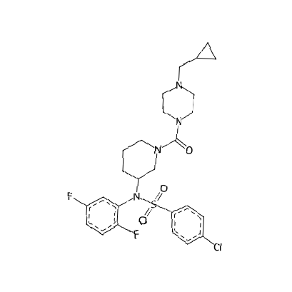 O=C(N1CCN(CC2CC2)CC1)N1CCCC(N(c2cc(F)ccc2F)S(=O)(=O)c2ccc(Cl)cc2)C1